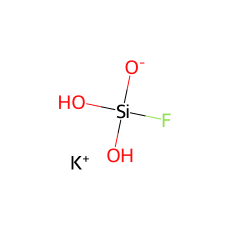 [K+].[O-][Si](O)(O)F